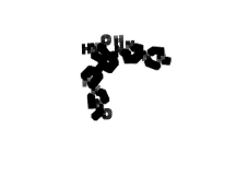 CC(=O)N1CCN(c2cc(-c3ccc(Nc4ccc(N5CCN(C)CC5)cn4)c4c3CNC4=O)ccn2)CC1